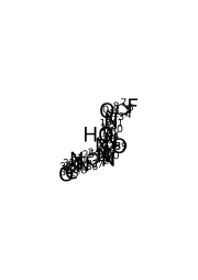 O=C(c1ccc(F)cc1)N1CCC(O)(Cn2cnc3c(cnn3-c3ccc(-n4cc5c(n4)CCOC5)cc3)c2=O)CC1